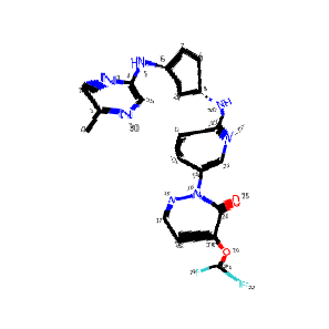 Cc1cnc(N[C@H]2CC[C@H](Nc3ccc(-n4nccc(OC(F)F)c4=O)cn3)C2)cn1